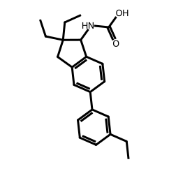 CCc1cccc(-c2ccc3c(c2)CC(CC)(CC)C3NC(=O)O)c1